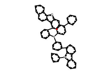 c1ccc(-c2ccc(N(c3cccc(-c4cccc5c6ccccc6n(-c6ccccc6)c45)c3)c3ccccc3-c3cccc4oc5c6ccccc6ccc5c34)cc2)cc1